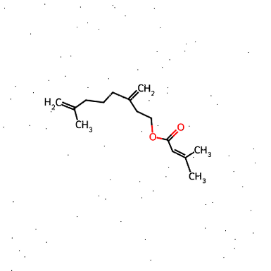 C=C(C)CCCC(=C)CCOC(=O)C=C(C)C